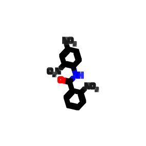 O=C(Nc1ccc([N+](=O)[O-])cc1[N+](=O)[O-])c1ccccc1[N+](=O)[O-]